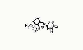 COc1cccc(C=CC2=NNC(=O)CC2)c1[S+](C)[O-]